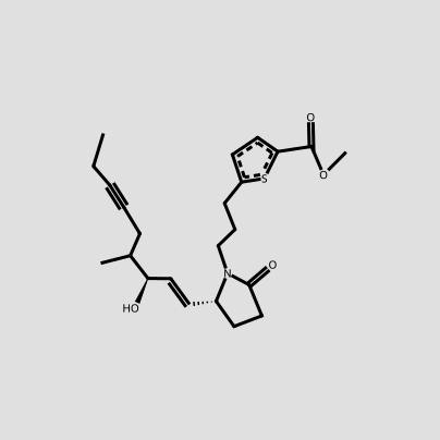 CCC#CCC(C)[C@H](O)C=C[C@H]1CCC(=O)N1CCCc1ccc(C(=O)OC)s1